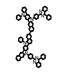 c1ccc(-c2nc(-c3ccc(-n4c5cc6ccc(-c7ccc8c(ccc9c%10cc%11c(cc%10n(-c%10ccccc%10)c89)c8cc9ccccc9cc8n%11-c8ccc(-c9nc(-c%10ccccc%10)c%10ccccc%10n9)cc8)c7)cc6cc5c5cc6c(cc54)c4ccccc4n6-c4ccccc4)cc3)nc3ccccc23)cc1